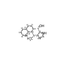 CC(c1nc[nH]c1CO)c1cccc2cccnc12